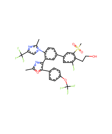 Cc1nc(-c2cc(-c3cc(F)c(CCO)c(S(C)(=O)=O)c3)ccc2-n2cc(C(F)(F)F)nc2C)c(-c2ccc(OC(F)(F)F)cc2)o1